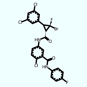 O=C(Nc1ccc(F)cc1)c1cc(NC(=O)[C@@H]2C(c3cc(Cl)cc(Cl)c3)[C@]2(F)Br)ccc1Cl